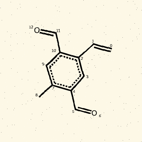 C=Cc1cc(C=O)c(C)cc1C=O